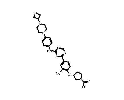 CCC(=O)N1CC[C@@H](Oc2ccc(-c3ncnc(Nc4ccc(N5CCN(C6COC6)CC5)cc4)n3)cc2C#N)C1